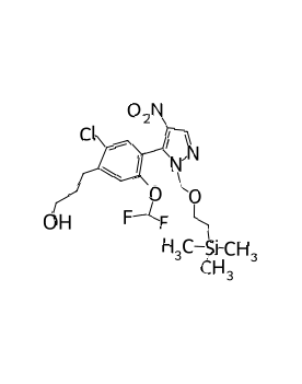 C[Si](C)(C)CCOCn1ncc([N+](=O)[O-])c1-c1cc(Cl)c(CCCO)cc1OC(F)F